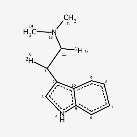 [2H]C(c1c[nH]c2ccccc12)C([2H])N(C)C